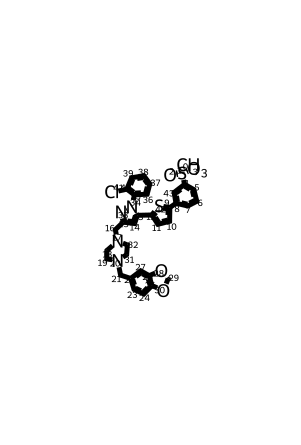 CS(=O)(=O)c1cccc(-c2ccc(-c3cc(CN4CCN(Cc5ccc6c(c5)OCO6)CC4)nn3-c3ccccc3Cl)s2)c1